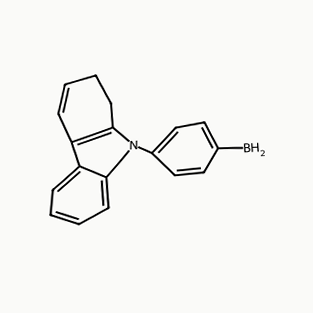 Bc1ccc(-n2c3c(c4ccccc42)C=CCC3)cc1